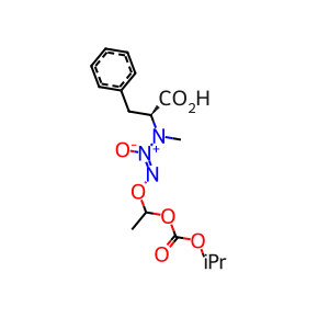 CC(C)OC(=O)OC(C)ON=[N+]([O-])N(C)[C@@H](Cc1ccccc1)C(=O)O